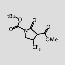 COC(=O)C1C(=O)N(C(=O)OC(C)(C)C)CC1C(F)(F)F